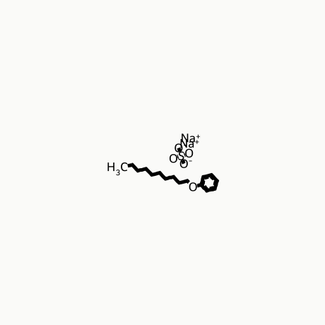 CCCCCCCCCCOc1ccccc1.O=S(=O)([O-])[O-].[Na+].[Na+]